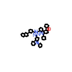 c1ccc(-c2nc3c(-c4nc(-c5cccc(-c6ccc7ccccc7c6)c5)nc(-c5ccc6c(c5)c5ccccc5n6-c5ccccc5)n4)cccc3c3c2ccc2oc4ccccc4c23)cc1